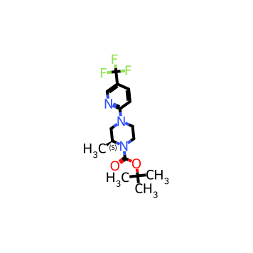 C[C@H]1CN(c2ccc(C(F)(F)F)cn2)CCN1C(=O)OC(C)(C)C